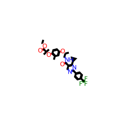 CCOC(=O)C(C)(C)Oc1ccc(OC(C)CNC(=O)c2cnc(-c3ccc(C(F)(F)F)cc3)nc2C2CC2)cc1C